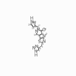 Cn1c2nc(Cc3c[nH]nn3)sc2c2cnn(Cc3cc[nH]n3)c(=O)c21